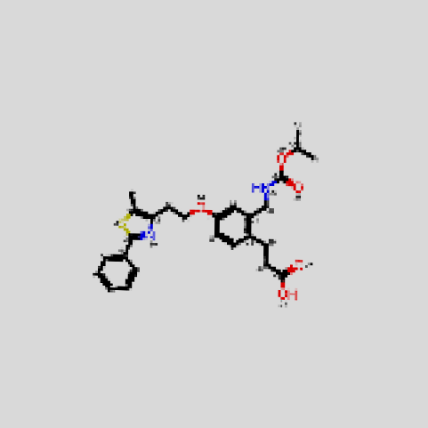 Cc1sc(-c2ccccc2)nc1CCOc1ccc(CCC(=O)O)c(CNC(=O)OC(C)C)c1